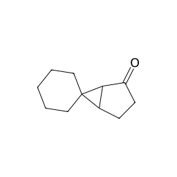 O=C1CCC2C1C21CCCCC1